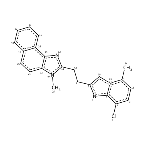 Cc1ccc(Cl)c2nc(CCc3nc4c5ccccc5ccc4n3C)cn12